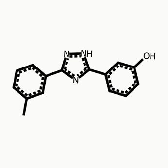 Cc1cccc(-c2n[nH]c(-c3cccc(O)c3)n2)c1